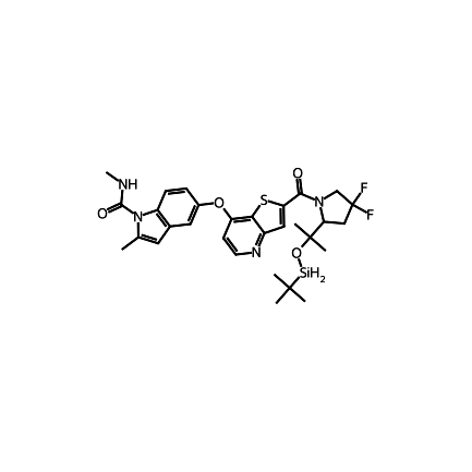 CNC(=O)n1c(C)cc2cc(Oc3ccnc4cc(C(=O)N5CC(F)(F)CC5C(C)(C)O[SiH2]C(C)(C)C)sc34)ccc21